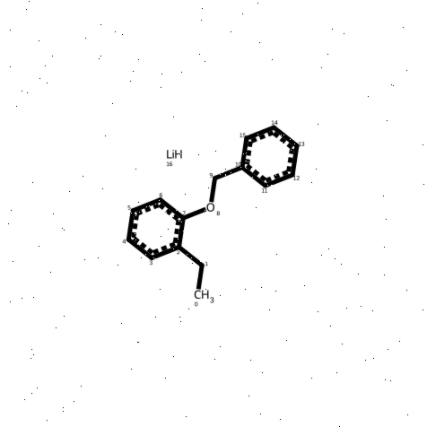 CCc1ccccc1OCc1ccccc1.[LiH]